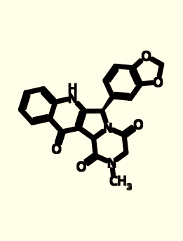 CN1CC(=O)N2C(C1=O)c1c([nH]c3ccccc3c1=O)[C@H]2c1ccc2c(c1)OCO2